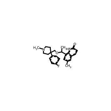 Cc1cc(C(C)OCC2(c3ccc(F)cc3)CCN(C)CC2)c2[nH]c(=O)ccc2c1